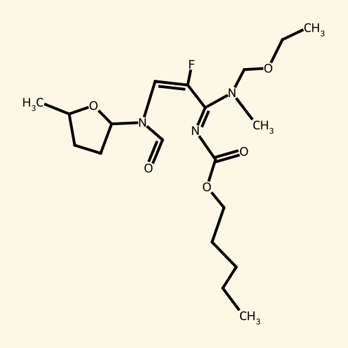 CCCCCOC(=O)/N=C(/C(F)=C\N(C=O)C1CCC(C)O1)N(C)COCC